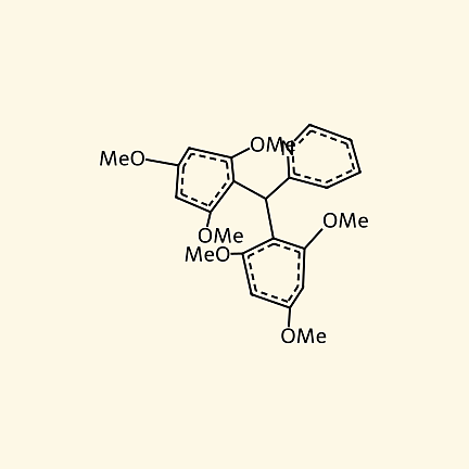 COc1cc(OC)c(C(c2ccccn2)c2c(OC)cc(OC)cc2OC)c(OC)c1